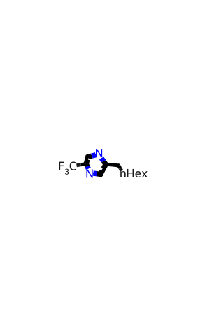 CCCCCCCc1cnc(C(F)(F)F)cn1